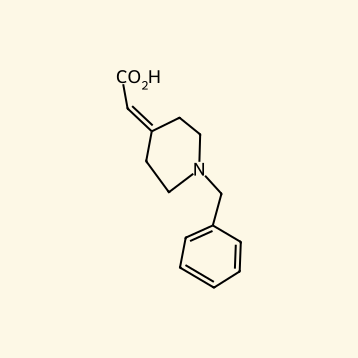 O=C(O)C=C1CCN(Cc2ccccc2)CC1